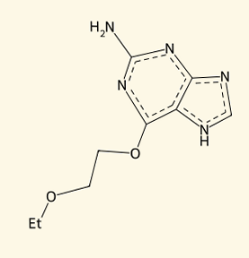 CCOCCOc1nc(N)nc2nc[nH]c12